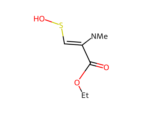 CCOC(=O)/C(=C/SO)NC